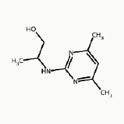 Cc1cc(C)nc(NC(C)CO)n1